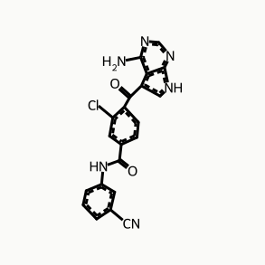 N#Cc1cccc(NC(=O)c2ccc(C(=O)c3c[nH]c4ncnc(N)c34)c(Cl)c2)c1